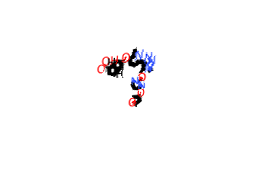 Cc1nc(-c2nnn(C)c2COc2nccc(O[C@H]3CCOC3)n2)ccc1O[C@H]1C[C@@H]2CC[C@H](C(=O)O)[C@@H]2C1